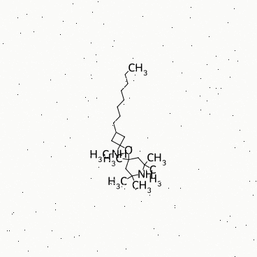 CCCCCCCCC1CC(NC)(OC2(C)CC(C)(C)NC(C)(C)C2)C1